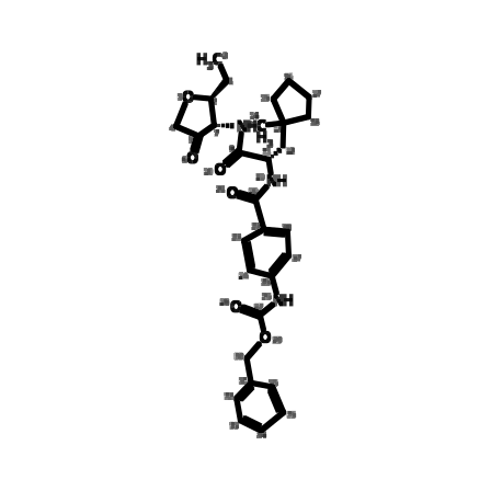 CC[C@@H]1OCC(=O)[C@H]1NC(=O)[C@H](CC1(C)CCCC1)NC(=O)c1ccc(NC(=O)OCc2ccccc2)cc1